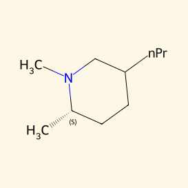 CCCC1CC[C@H](C)N(C)C1